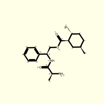 CC(C)[C@@H]1CC[C@@H](C)C[C@H]1C(=O)OC[C@@H](NC(=O)[C@H](C)N)c1ccccc1